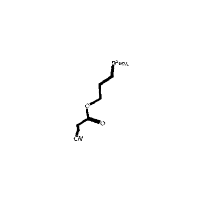 CCCCCCCCOC(=O)CC#N